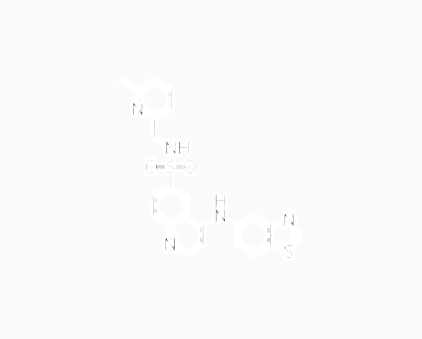 Cc1cccc(CNS(=O)(=O)c2ccc3nccc(Nc4ccc5scnc5c4)c3c2)n1